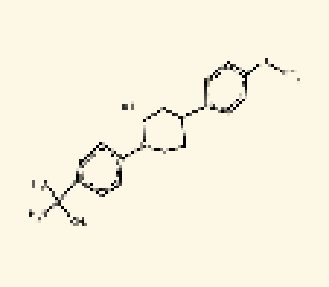 CC(C)(N)c1ccc(N2CCC(c3ccc(OC(F)(F)F)cc3)CC2)cc1.Cl